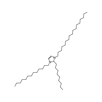 CCCCCCCCCCCCCCCCCN1C=CN(CCCCCCCCCCCCC)C1CCCCCCCCC